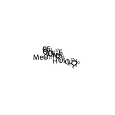 C=C(OCCOCc1ccccc1)C(C)(F)[C@H](C)Nc1ccc(OC(F)(F)F)c(OC)c1